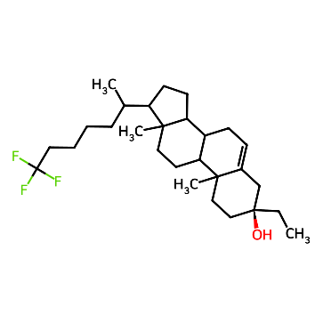 CC[C@]1(O)CCC2(C)C(=CCC3C2CCC2(C)C(C(C)CCCCC(F)(F)F)CCC32)C1